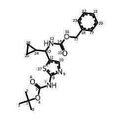 CC(C)(C)OC(=O)Nc1ncc(C(NC(=O)OCc2ccccc2)C2CC2)s1